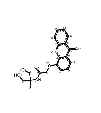 CC(CO)(CO)NC(=O)COc1cccc2c(=O)c3ccccc3sc12